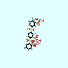 O=S(=O)(O)c1cc(S(=O)(=O)c2ccc(S(=O)(=O)c3ccccc3S(=O)(=O)O)c(S(=O)(=O)O)c2)ccc1F